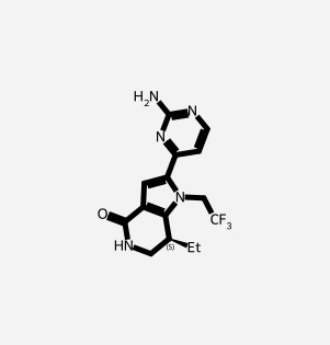 CC[C@H]1CNC(=O)c2cc(-c3ccnc(N)n3)n(CC(F)(F)F)c21